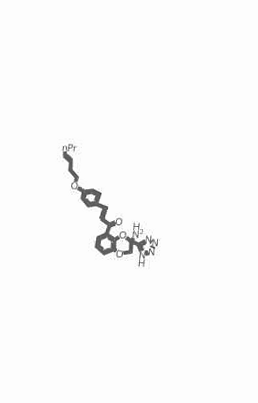 CCC/C=C/CCOc1ccc(C=CC(=O)c2cccc3c2OC(N)(c2nnn[nH]2)CO3)cc1